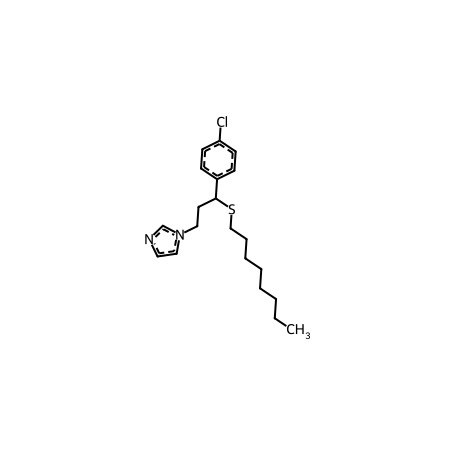 CCCCCCCCSC(CCn1ccnc1)c1ccc(Cl)cc1